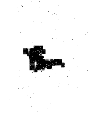 CCCC(=O)CC1CCC(C)C(CC(=O)NCC(O)C(C)C(N)=O)O1